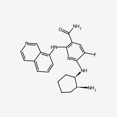 NC(=O)c1cc(F)c(N[C@@H]2CCCC[C@@H]2N)nc1Nc1cccc2ccncc12